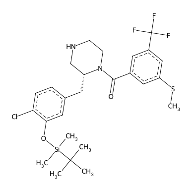 CSc1cc(C(=O)N2CCNC[C@H]2Cc2ccc(Cl)c(O[Si](C)(C)C(C)(C)C)c2)cc(C(F)(F)F)c1